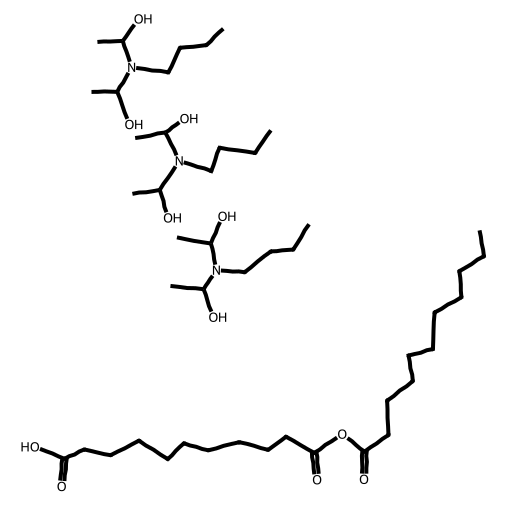 CCCCCCCCCCC(=O)OC(=O)CCCCCCCCCC(=O)O.CCCCN(C(C)O)C(C)O.CCCCN(C(C)O)C(C)O.CCCCN(C(C)O)C(C)O